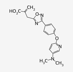 C=C(Cc1nc(-c2ccc(Oc3ccc(N(C)C)cn3)cc2)no1)C(=O)O